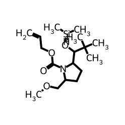 C=CCOC(=O)N1C(COC)CCC1C(O[SiH](C)C)C(C)(C)C